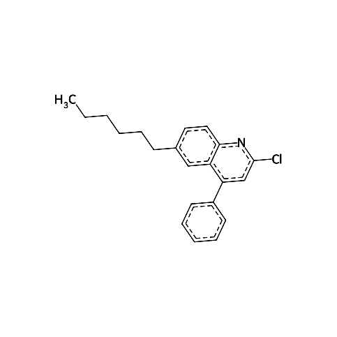 CCCCCCc1ccc2nc(Cl)cc(-c3ccccc3)c2c1